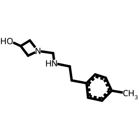 Cc1ccc(CCNCN2CC(O)C2)cc1